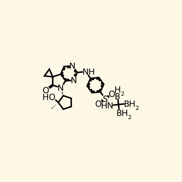 BC(B)(B)NS(=O)(=O)c1ccc(Nc2ncc3c(n2)N([C@@H]2CCC[C@@]2(C)O)C(=O)C32CC2)cc1